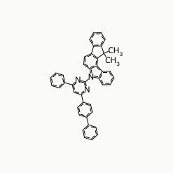 CC1(C)c2ccccc2-c2ccc3c(c21)c1ccccc1n3-c1nc(-c2ccccc2)cc(-c2ccc(-c3ccccc3)cc2)n1